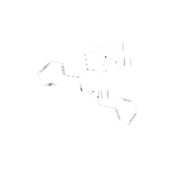 CC1(C)OCC([C@@H](CNCc2ccccc2)c2ccccc2)O1